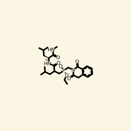 CCOP(=O)(CC(CC(C)C)C(=O)N[C@@H](CC(C)C)C(=O)NC)CN1C(=O)Cc2ccccc2C1=O